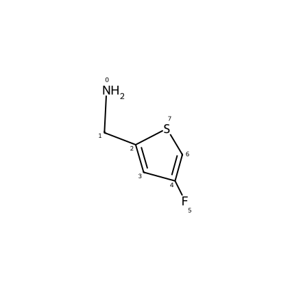 NCc1cc(F)cs1